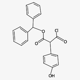 O=C(Cl)C(C(=O)OC(c1ccccc1)c1ccccc1)c1ccc(O)cc1